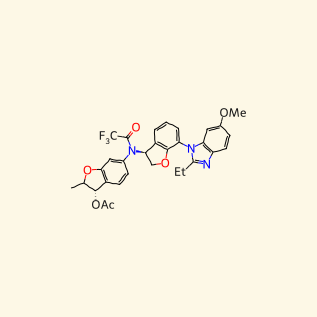 CCc1nc2ccc(OC)cc2n1-c1cccc2c1OC[C@H]2N(C(=O)C(F)(F)F)c1ccc2c(c1)OC(C)[C@H]2OC(C)=O